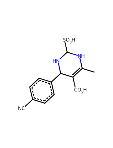 CC1=C(C(=O)O)C(c2ccc(C#N)cc2)NC(S(=O)(=O)O)N1